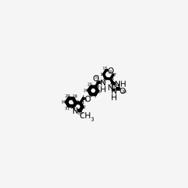 Cc1cc(COc2ccc(C(=O)NC3CCOCC3c3n[nH]c(=O)[nH]3)cc2)c2ccccc2n1